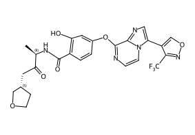 C[C@@H](NC(=O)c1ccc(Oc2nccn3c(-c4conc4C(F)(F)F)cnc23)cc1O)C(=O)C[C@@H]1CCOC1